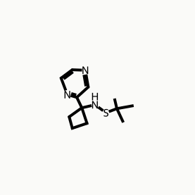 CC(C)(C)SNC1(c2cnccn2)CCC1